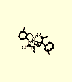 CC(=NOCc1c(C)cccc1-n1nnn(C)c1=O)C1(c2cccc(C)c2)CC1